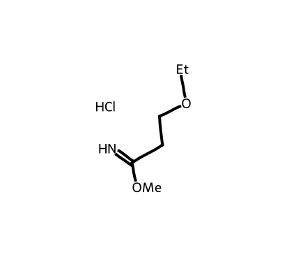 CCOCCC(=N)OC.Cl